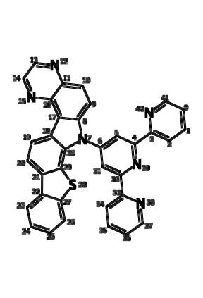 c1ccc(-c2cc(-n3c4ccc5nccnc5c4c4ccc5c6ccccc6sc5c43)cc(-c3ccccn3)n2)nc1